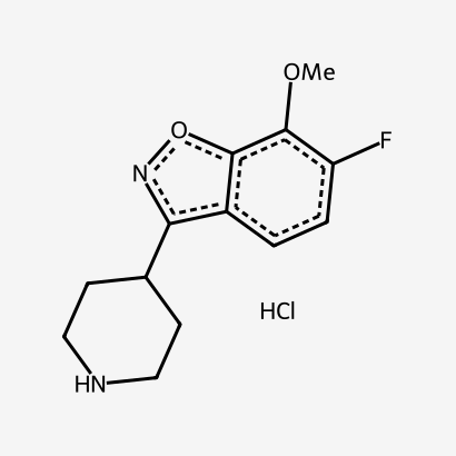 COc1c(F)ccc2c(C3CCNCC3)noc12.Cl